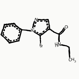 CCNC(=O)c1cnn(-c2ccccc2)c1Br